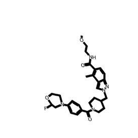 COCCNC(=O)c1ccc2nn(CC3CCN(C(=O)c4ccc(N5CCOC(F)C5)cc4)CC3)cc2c1C